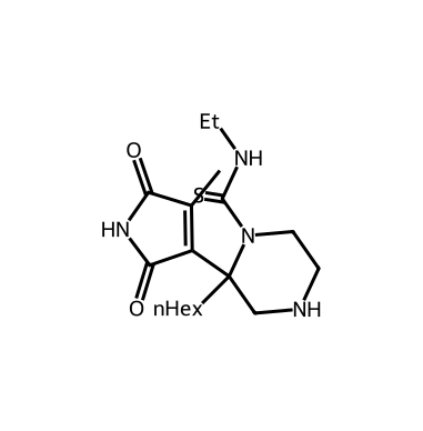 CCCCCCC1(C2=C(C)C(=O)NC2=O)CNCCN1C(=S)NCC